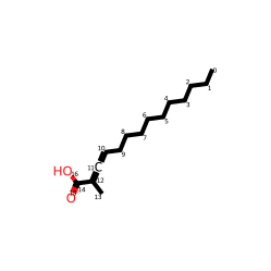 CCCCCCCCCCC=C=C(C)C(=O)O